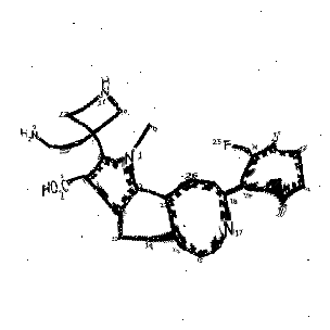 Cn1c2c(c(C(=O)O)c1C1(CN)CNC1)CCc1cnc(-c3ccccc3F)cc1-2